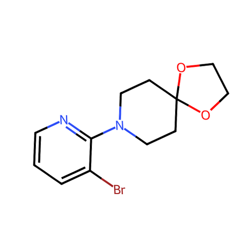 Brc1cccnc1N1CCC2(CC1)OCCO2